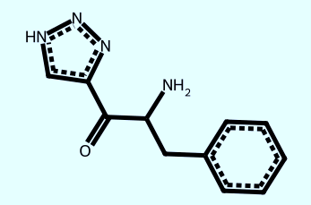 NC(Cc1ccccc1)C(=O)c1c[nH]nn1